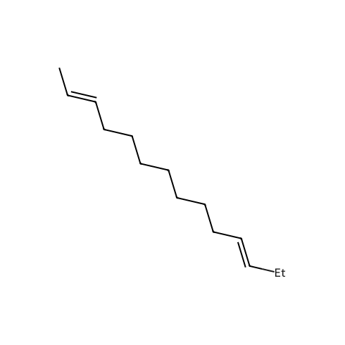 CC=CCCCCCCCC=CCC